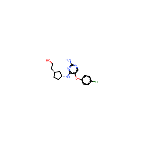 Nc1ncc(Oc2ccc(Cl)cc2)c(N[C@@H]2CC[C@@H](CCO)C2)n1